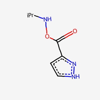 CC(C)NOC(=O)c1cc[nH]n1